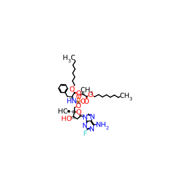 C#C[C@]1(CO[P@@](=O)(N[C@@H](Cc2ccccc2)C(=O)OCCCCCCCC)O[C@@H](C)C(=O)OCCCCCCCC)O[C@@H](n2cnc3c(N)nc(F)nc32)C[C@@H]1O